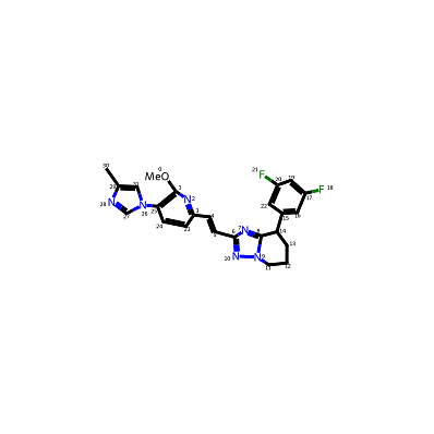 COc1nc(C=Cc2nc3n(n2)CCCC3c2cc(F)cc(F)c2)ccc1-n1cnc(C)c1